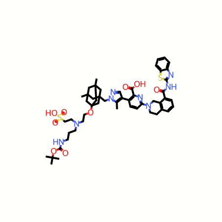 Cc1c(-c2ccc(N3CCc4cccc(C(=O)Nc5nc6ccccc6s5)c4C3)nc2C(=O)O)cnn1CC12CC3(C)CC(C)(C1)CC(OCCN(CCCNC(=O)OC(C)(C)C)CCS(=O)(=O)O)(C3)C2